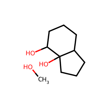 CO.OC1CCCC2CCCC12O